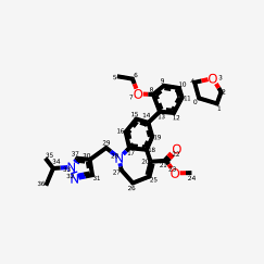 C1CCOC1.CCOc1ccccc1-c1ccc2c(c1)C(C(=O)OC)=CCCN2Cc1cnn(C(C)C)c1